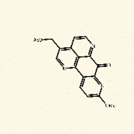 COc1ccc2c(n1)C(=O)c1nccc3c(COC(C)=O)cnc-2c13